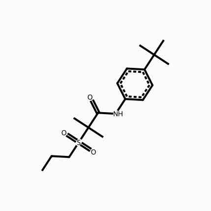 CCCS(=O)(=O)C(C)(C)C(=O)Nc1ccc(C(C)(C)C)cc1